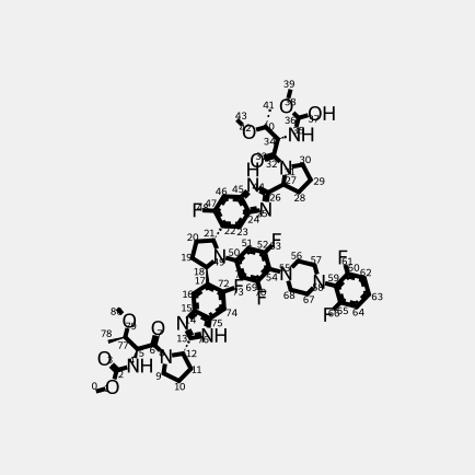 COC(=O)N[C@H](C(=O)N1CCC[C@H]1c1nc2cc([C@H]3CC[C@H](c4cc5nc(C6CCCN6C(=O)[C@@H](NC(O)OC)[C@@H](C)OC)[nH]c5cc4F)N3c3cc(F)c(N4CCN(c5c(F)cccc5F)CC4)c(F)c3)c(F)cc2[nH]1)[C@@H](C)OC